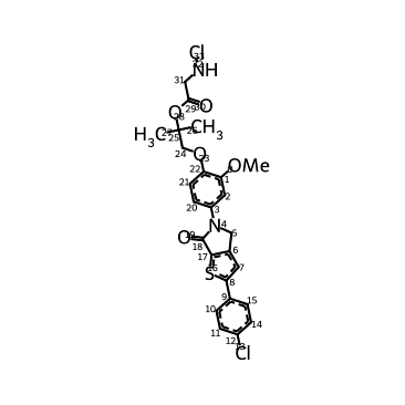 COc1cc(N2Cc3cc(-c4ccc(Cl)cc4)sc3C2=O)ccc1OCC(C)(C)OC(=O)CNCl